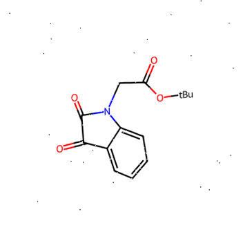 CC(C)(C)OC(=O)CN1C(=O)C(=O)c2ccccc21